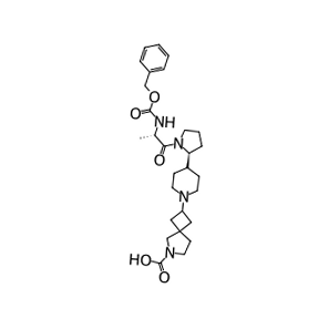 C[C@H](NC(=O)OCc1ccccc1)C(=O)N1CCC[C@H]1C1CCN(C2CC3(CCN(C(=O)O)C3)C2)CC1